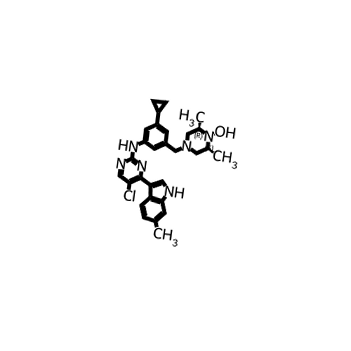 Cc1ccc2c(-c3nc(Nc4cc(CN5C[C@@H](C)N(O)[C@@H](C)C5)cc(C5CC5)c4)ncc3Cl)c[nH]c2c1